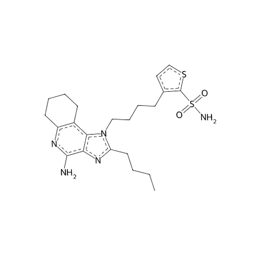 CCCCc1nc2c(N)nc3c(c2n1CCCCc1ccsc1S(N)(=O)=O)CCCC3